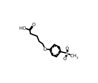 CS(=O)(=O)c1ccc(OCCCCC(=O)O)cc1